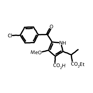 CCOC(=O)C(C)c1[nH]c(C(=O)c2ccc(Cl)cc2)c(OC)c1C(=O)O